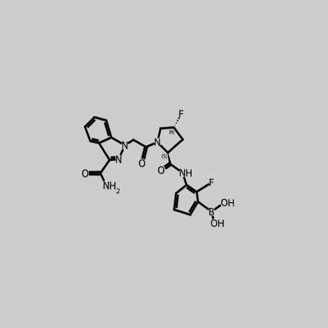 NC(=O)c1nn(CC(=O)N2C[C@H](F)C[C@H]2C(=O)Nc2cccc(B(O)O)c2F)c2ccccc12